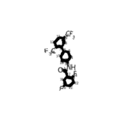 O=C(Nc1ccc(-c2cc(C(F)(F)F)ccc2C(F)(F)F)cc1)c1cc(F)ccc1F